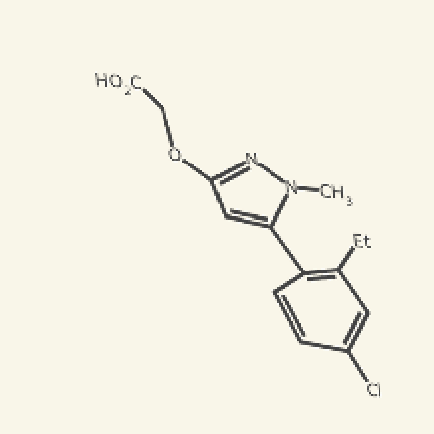 CCc1cc(Cl)ccc1-c1cc(OCC(=O)O)nn1C